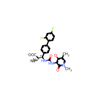 Cc1cn(C)c(=O)c(NC(=O)N[C@@H](CC(=O)[O-])c2ccc(-c3ccc(F)cc3F)cc2)c1[O-].[Na+].[Na+]